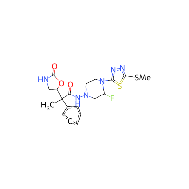 CSc1nnc(N2CCN(NC(=O)C(C)(c3ccccc3)C3CNC(=O)O3)CC2F)s1